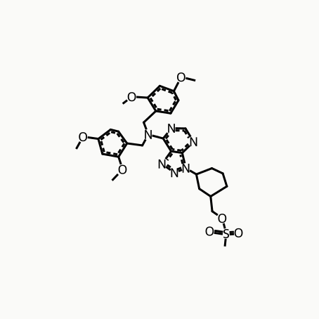 COc1ccc(CN(Cc2ccc(OC)cc2OC)c2ncnc3c2nnn3C2CCCC(COS(C)(=O)=O)C2)c(OC)c1